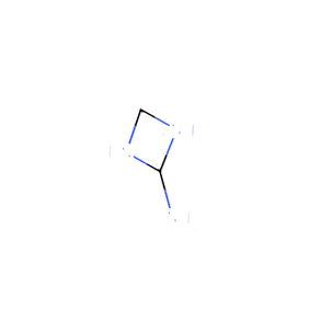 NC1NCN1